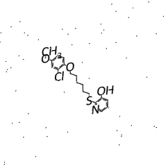 COc1ccc(OCCCCCCSc2ncccc2O)c(Cl)c1